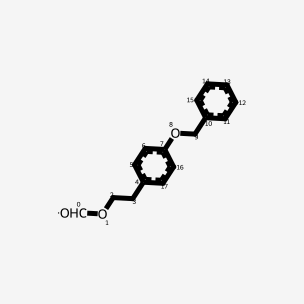 O=[C]OCCc1ccc(OCc2ccccc2)cc1